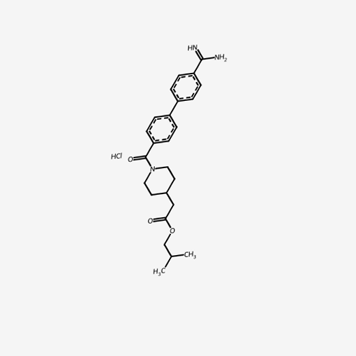 CC(C)COC(=O)CC1CCN(C(=O)c2ccc(-c3ccc(C(=N)N)cc3)cc2)CC1.Cl